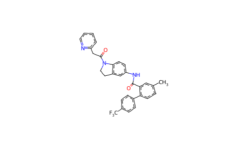 Cc1ccc(-c2ccc(C(F)(F)F)cc2)c(C(=O)Nc2ccc3c(c2)CCN3C(=O)Cc2ccccn2)c1